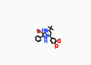 COc1ccc(C2CC(C(C)(C)C)NC3C(Br)=C(c4ccccc4)NN32)cc1OC